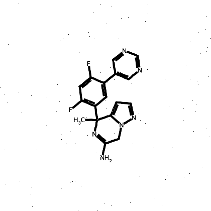 CC1(c2cc(-c3cncnc3)c(F)cc2F)N=C(N)Cn2nccc21